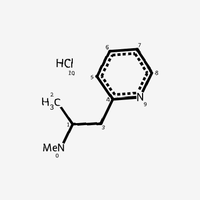 CNC(C)Cc1ccccn1.Cl